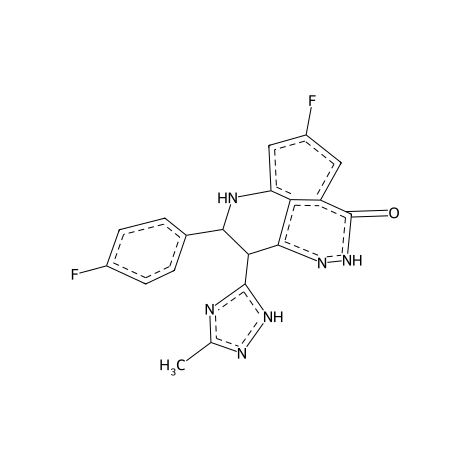 Cc1n[nH]c(C2c3n[nH]c(=O)c4cc(F)cc(c34)NC2c2ccc(F)cc2)n1